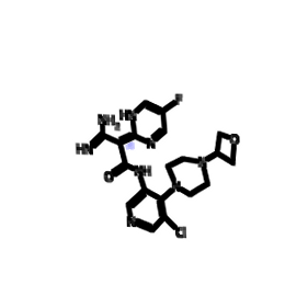 N=C(N)/C(C(=O)Nc1cncc(Cl)c1N1CCN(C2COC2)CC1)=C1/N=CC(F)=CN1